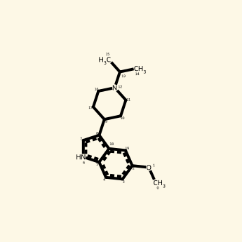 COc1ccc2[nH]cc(C3CCN(C(C)C)CC3)c2c1